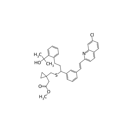 COC(=O)CC1(CSC(CCc2ccccc2C(C)(C)O)c2cccc(/C=C/c3ccc4ccc(Cl)cc4n3)c2)CC1